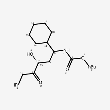 CCCCOC(=O)NC(C[C@@H](O)C(=O)CC(C)C)C1CCCCC1